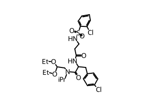 CCOC(CN(C(=O)C(Cc1ccc(Cl)cc1)NC(=O)CCNS(=O)(=O)c1ccccc1Cl)C(C)C)OCC